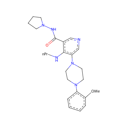 CCCNc1c(C(=O)NN2CCCC2)cncc1N1CCN(c2ccccc2OC)CC1